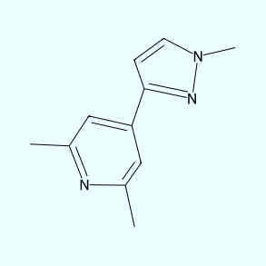 Cc1cc(-c2ccn(C)n2)cc(C)n1